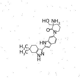 CC1(C)CCc2c(-c3cc4ccc(N5CCCC(N)(CO)C5=O)cc4[nH]3)n[nH]c2C1